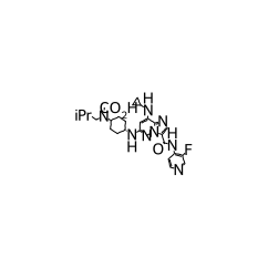 CC(C)CN(C(=O)O)[C@H]1CC[C@H](Nc2cc(NC3CC3)c3ncc(C(=O)Nc4ccncc4F)n3n2)CC1